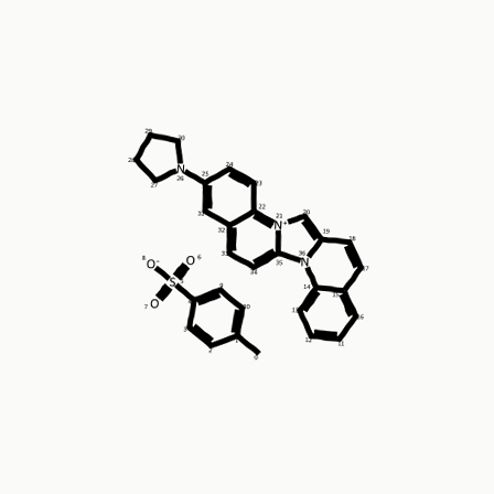 Cc1ccc(S(=O)(=O)[O-])cc1.c1ccc2c(c1)ccc1c[n+]3c4ccc(N5CCCC5)cc4ccc3n12